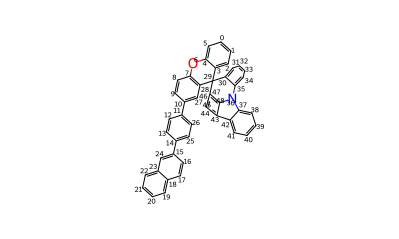 c1ccc2c(c1)Oc1ccc(-c3ccc(-c4ccc5ccccc5c4)cc3)cc1C21c2ccccc2-n2c3ccccc3c3cccc1c32